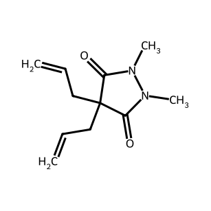 C=CCC1(CC=C)C(=O)N(C)N(C)C1=O